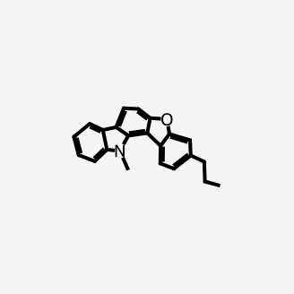 CCCc1ccc2c(c1)oc1ccc3c4ccccc4n(C)c3c12